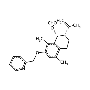 C=C(C)[C@@H]1CCc2c(C)cc(OCc3ccccn3)c(C)c2[C@@H]1OC=O